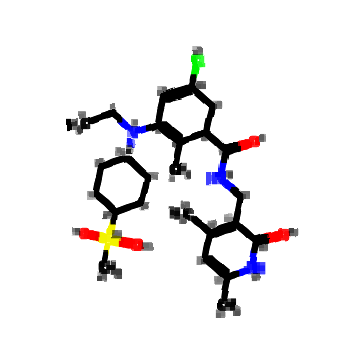 CCN(C1=C(C)C(C(=O)NCc2c(C)cc(C)[nH]c2=O)CC(Cl)=C1)[C@H]1CC[C@H](S(C)(=O)=O)CC1